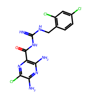 N=C(NCc1ccc(Cl)cc1Cl)NC(=O)c1nc(Cl)c(N)nc1N